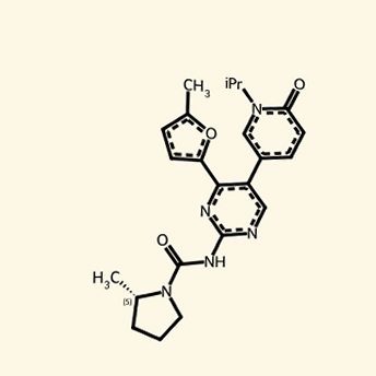 Cc1ccc(-c2nc(NC(=O)N3CCC[C@@H]3C)ncc2-c2ccc(=O)n(C(C)C)c2)o1